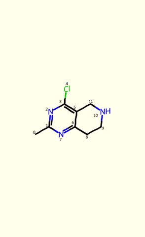 Cc1nc(Cl)c2c(n1)CCNC2